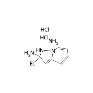 CCC1(N)C=C2C=CC=CN2N1.Cl.Cl.N